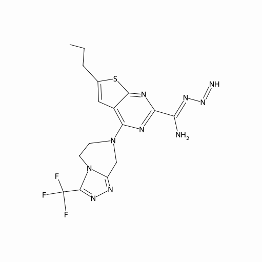 CCCc1cc2c(N3CCn4c(nnc4C(F)(F)F)C3)nc(/C(N)=N/N=N)nc2s1